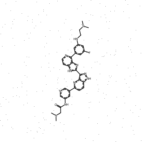 CN(C)CCNc1cc(F)cc(-c2nccc3[nH]c(-c4n[nH]c5ccc(-c6cncc(NC(=O)CN(C)C)c6)nc45)nc23)c1